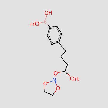 OB(O)c1ccc(CCCC(O)ON2OCCO2)cc1